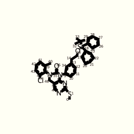 CSc1ncc2c(n1)N(c1cccc(CCO[Si](c3ccccc3)(c3ccccc3)C(C)(C)C)c1)C(=O)N(c1c(C)cccc1Cl)C2